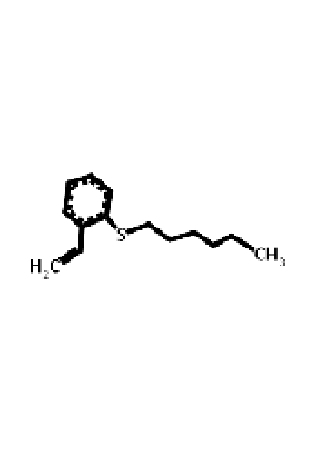 C=Cc1ccccc1SCCCCCC